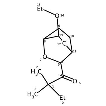 [CH2]CC(C)(C)C(=O)[C]1OC2CCC1CC2OCC